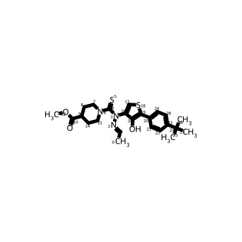 CC=NN(C(=S)N1CCC(C(=O)OC)CC1)c1csc(-c2ccc(C(C)(C)C)cc2)c1O